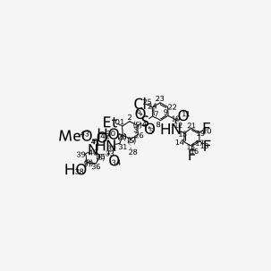 CCC1C[C@@H](S(=O)(=O)c2cc(C(=O)Nc3cc(F)c(F)c(F)c3)ccc2Cl)C[C@H](C)[C@@]1(O)CNC(=O)[C@@H]1C[C@@H](O)CN1C(=O)OC